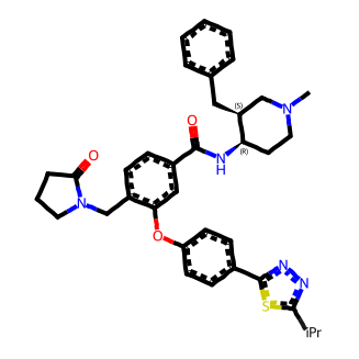 CC(C)c1nnc(-c2ccc(Oc3cc(C(=O)N[C@@H]4CCN(C)C[C@@H]4Cc4ccccc4)ccc3CN3CCCC3=O)cc2)s1